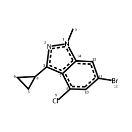 Cn1nc(C2CC2)c2c(Cl)cc(Br)cc21